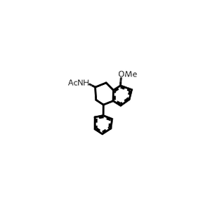 COc1cccc2c1CC(NC(C)=O)CC2c1ccccc1